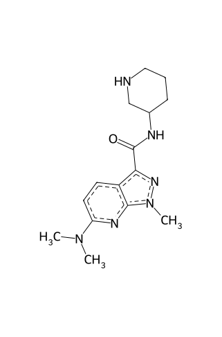 CN(C)c1ccc2c(C(=O)NC3CCCNC3)nn(C)c2n1